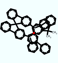 CC1(C)c2ccccc2-c2ccc(N(c3ccccc3)c3ccc4c(c3)C3(c5ccccc5-c5ccc(N(c6ccccc6)c6cccc(-c7ccccc7)c6)cc53)c3ccccc3-4)cc21